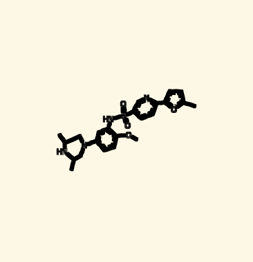 COc1ccc(N2CC(C)NC(C)C2)cc1NS(=O)(=O)c1ccc(-c2ccc(C)o2)nc1